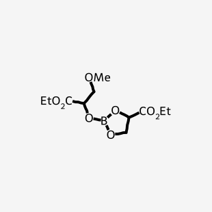 CCOC(=O)C(COC)OB1OCC(C(=O)OCC)O1